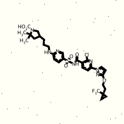 CC1(C)CC(CCCNc2ccc(S(=O)(=O)NC(=O)c3ccc(-n4ccc(OCCC5(C(F)(F)F)CC5)n4)nc3Cl)cn2)CN1C(=O)O